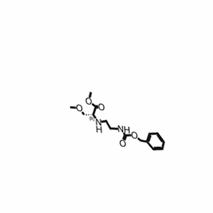 COC[C@@H](NCCNC(=O)OCc1ccccc1)C(=O)OC